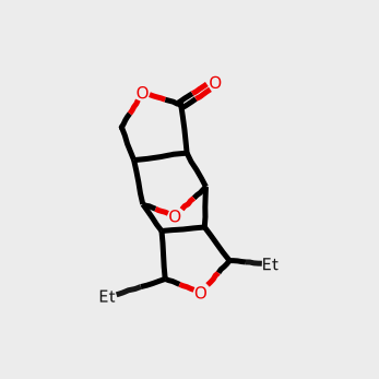 CCC1OC(CC)C2C3OC(C4COC(=O)C43)C12